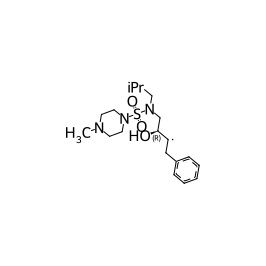 CC(C)CN(C[C@H](O)[CH]Cc1ccccc1)S(=O)(=O)N1CCN(C)CC1